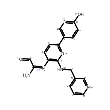 N/C(C=O)=N/c1ccc(-c2ccc(O)nc2)nc1NCc1cccnc1